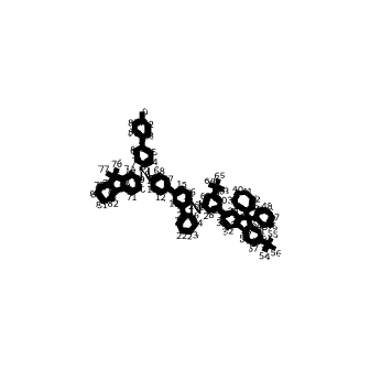 Cc1ccc(-c2ccc(N(c3ccc(-c4ccc5c(c4)c4ccccc4n5-c4cc(-c5ccc6c(c5)C(C5=CCCCC=C5)(c5ccccc5)c5cc(C(C)(C)C)ccc5-6)cc(C(C)(C)C)c4)cc3)c3ccc4c(c3)C(C)(C)c3ccccc3-4)cc2)cc1